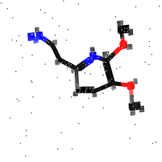 COc1ccc(CCN)nc1OC